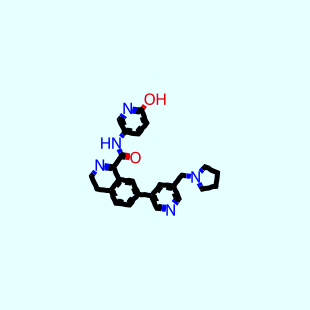 O=C(Nc1ccc(O)nc1)C1=NCCc2ccc(-c3cncc(CN4CCCC4)c3)cc21